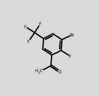 CC(=O)c1cc(C(F)(F)F)cc(Br)c1F